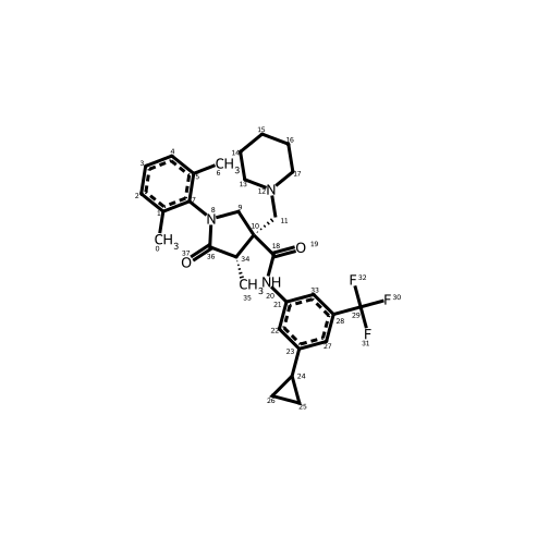 Cc1cccc(C)c1N1C[C@@](CN2CCCCC2)(C(=O)Nc2cc(C3CC3)cc(C(F)(F)F)c2)[C@H](C)C1=O